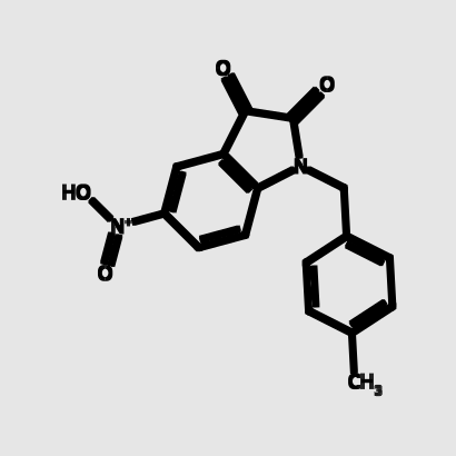 Cc1ccc(CN2C(=O)C(=O)c3cc([N+](=O)O)ccc32)cc1